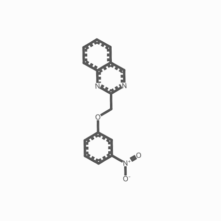 O=[N+]([O-])c1cccc(OCc2ncc3ccccc3n2)c1